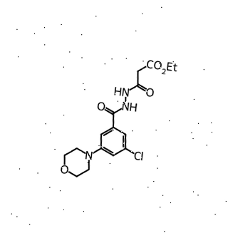 CCOC(=O)CC(=O)NNC(=O)c1cc(Cl)cc(N2CCOCC2)c1